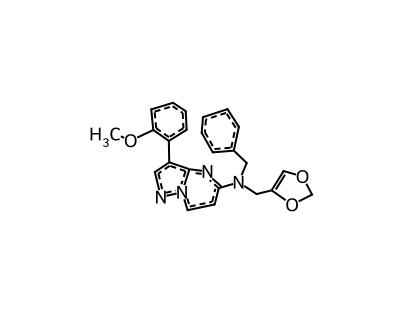 COc1ccccc1-c1cnn2ccc(N(CC3=COCO3)Cc3ccccc3)nc12